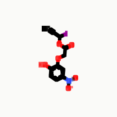 C#CC(I)OC(=O)COc1cc([N+](=O)[O-])ccc1O